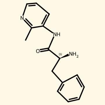 Cc1ncccc1NC(=O)[C@@H](N)Cc1ccccc1